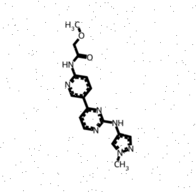 COCC(=O)Nc1ccc(-c2ccnc(Nc3cnn(C)c3)n2)cn1